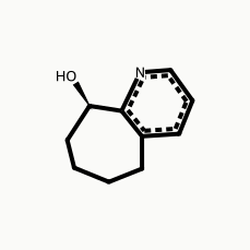 O[C@@H]1CCCCc2cccnc21